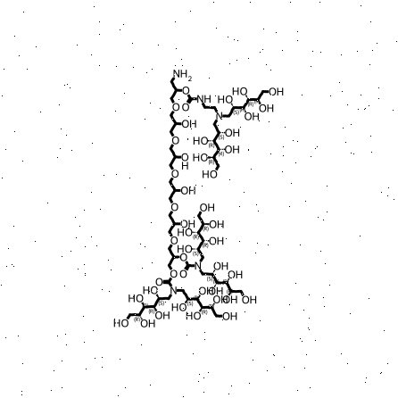 NCC(COCC(O)COCC(O)COCC(O)COCC(O)COCC(COC(=O)N(C[C@H](O)[C@@H](O)[C@H](O)[C@H](O)CO)C[C@H](O)[C@@H](O)[C@H](O)[C@H](O)CO)OC(=O)N(C[C@H](O)[C@@H](O)[C@H](O)[C@H](O)CO)C[C@H](O)[C@@H](O)[C@H](O)[C@H](O)CO)OC(=O)NCCN(C[C@H](O)[C@@H](O)[C@H](O)[C@H](O)CO)C[C@H](O)[C@@H](O)[C@H](O)[C@H](O)CO